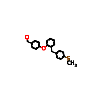 CSc1ccc(Cc2ccccc2Oc2ccc(C=O)cc2)cc1